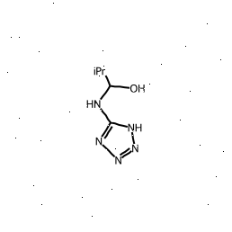 CC(C)C(O)Nc1nnn[nH]1